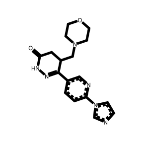 O=C1CC(CN2CCOCC2)C(c2ccc(-n3ccnc3)nc2)=NN1